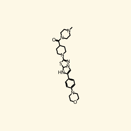 CN1CCN(C(=O)C2CCN(C3=NN4C=C(c5ccc(N6CCOCC6)cc5)NC4S3)CC2)CC1